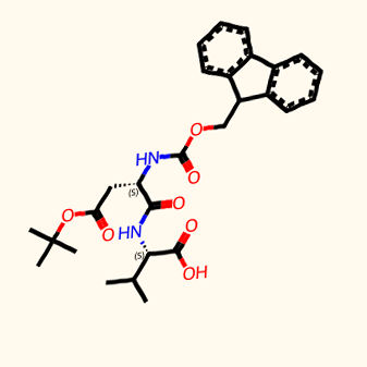 CC(C)[C@H](NC(=O)[C@H](CC(=O)OC(C)(C)C)NC(=O)OCC1c2ccccc2-c2ccccc21)C(=O)O